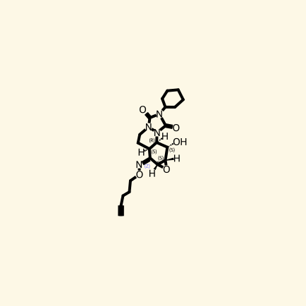 C#CCCCO/N=C1/[C@H]2CCn3c(=O)n(C4CCCCC4)c(=O)n3[C@H]2[C@H](O)[C@@H]2O[C@H]12